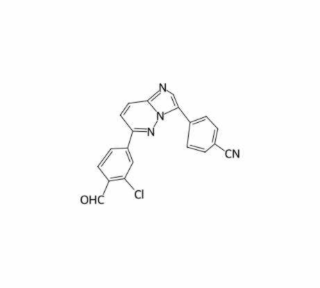 N#Cc1ccc(-c2cnc3ccc(-c4ccc(C=O)c(Cl)c4)nn23)cc1